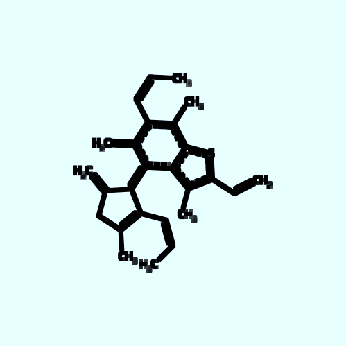 C=Cc1sc2c(C)c(/C=C\C)c(=C)/c(=C3\C(=C)CC(C)=C3/C=C\C)c2c1C